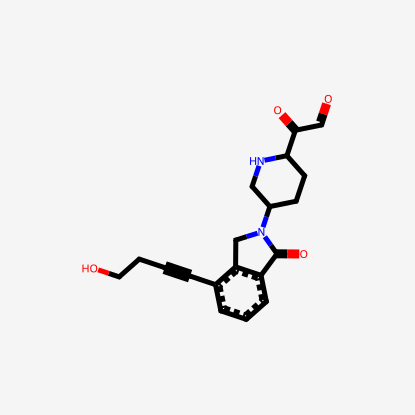 O=CC(=O)C1CCC(N2Cc3c(C#CCCO)cccc3C2=O)CN1